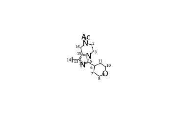 CC(=O)N1CCn2c(C3CCOCC3)nc(I)c2C1